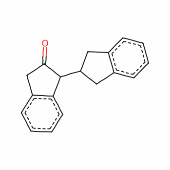 O=C1Cc2ccccc2C1C1Cc2ccccc2C1